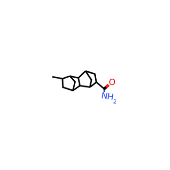 CC1CC2CC1C1C3CC(C(N)=O)C(C3)C21